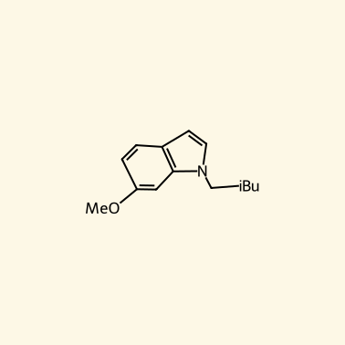 CCC(C)Cn1ccc2ccc(OC)cc21